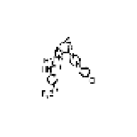 O=C(Nc1ccc(OC(F)(F)F)cc1)Nc1cn(CC2CC2)c(C(=O)N2CCN(c3ccc(Cl)cc3)CC2)n1